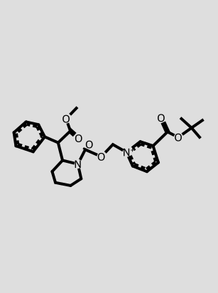 COC(=O)C(c1ccccc1)C1CCCCN1C(=O)OC[n+]1cccc(C(=O)OC(C)(C)C)c1